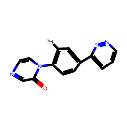 [2H]c1cc(-c2cccnn2)ccc1-n1ccncc1=O